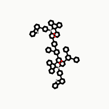 c1ccc(-c2cc(-c3ccccc3)cc(-c3ccc(N(c4ccc(-c5cccc6c5sc5ccccc56)cc4)c4c(-c5cccc(-c6ccc(-c7ccc(-c8ccc(N(c9ccc(-c%10cccc%11c%10sc%10ccccc%10%11)cc9)c9c(-c%10ccccc%10)c%10ccccc%10c%10ccccc9%10)cc8)cc7)c(-c7ccccc7)c6)c5)c5ccccc5c5ccccc45)cc3)c2)cc1